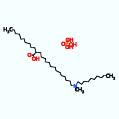 CCCCCCCCCCC(CCCCCCCCCCCCCCN(C)CCCCCCCCCC)C(=O)O.O=P(O)(O)O